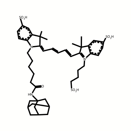 CC1(C)C(/C=C/C=C/C=C2/N(CCCCCC(=O)NC34CC5CC(CC(C5)C3)C4)c3ccc(S(=O)(=O)O)cc3C2(C)C)=[N+](CCCCS(=O)(=O)O)c2ccc(S(=O)(=O)O)cc21